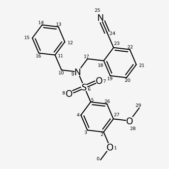 COc1ccc(S(=O)(=O)N(Cc2ccccc2)Cc2ccccc2C#N)cc1OC